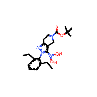 CCc1cccc(CC)c1-n1nc2c(c1N(O)O)CN(C(=O)OC(C)(C)C)CC2